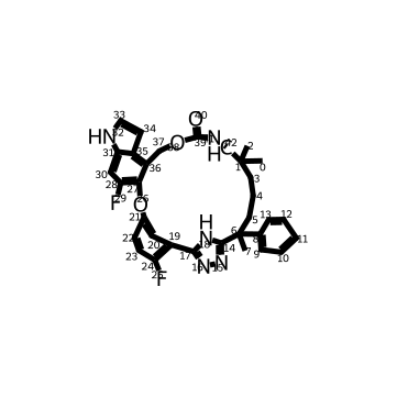 CC1(C)CCCC(C)(c2ccccc2)c2nnc([nH]2)-c2cc(ccc2F)Oc2c(F)cc3[nH]ccc3c2COC(=O)NC1